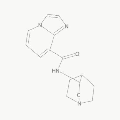 O=C(NC1CN2CCC1CC2)c1cccn2ccnc12